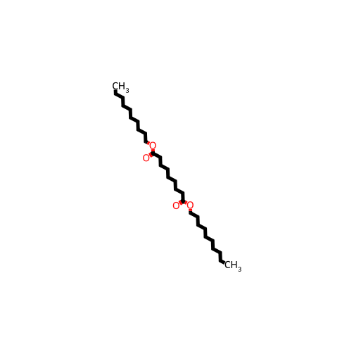 CCCCCCCCCCOC(=O)CCCCCCCC(=O)OCCCCCCCCCC